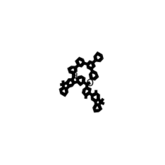 Cc1ccc(C(=O)c2ccc3c(c2)c2cc4c(cc2n3-c2cccc(-c3cccc(-c5cc(-c6ccccc6)cc(-c6ccccc6)c5)c3)c2)C(C)(C)c2ccccc2-4)cc1-c1cc2c(cc1C)C(C)(C)c1ccccc1-2